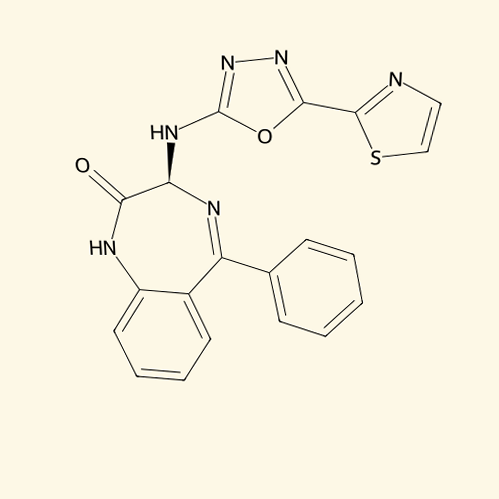 O=C1Nc2ccccc2C(c2ccccc2)=N[C@@H]1Nc1nnc(-c2nccs2)o1